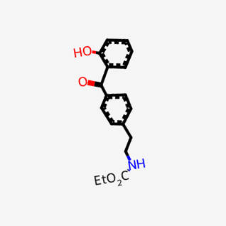 CCOC(=O)NCCc1ccc(C(=O)c2ccccc2O)cc1